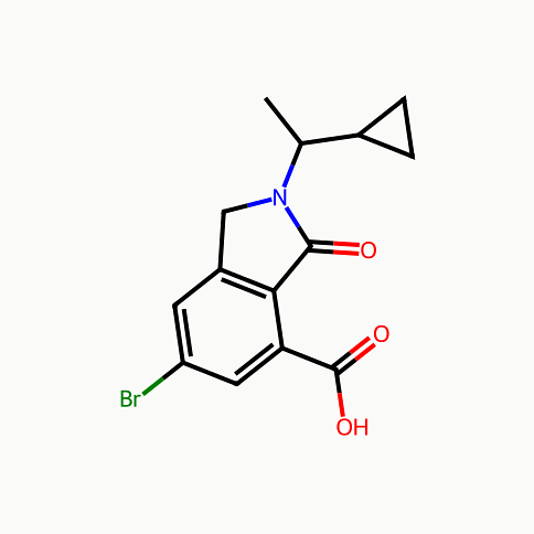 CC(C1CC1)N1Cc2cc(Br)cc(C(=O)O)c2C1=O